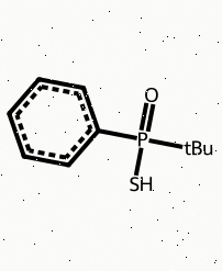 CC(C)(C)P(=O)(S)c1ccccc1